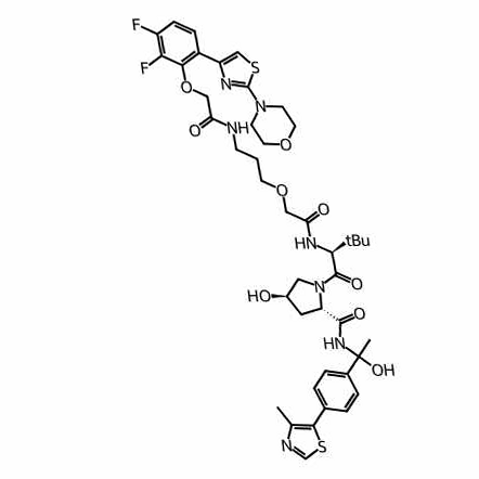 Cc1ncsc1-c1ccc(C(C)(O)NC(=O)[C@@H]2C[C@@H](O)CN2C(=O)[C@@H](NC(=O)COCCCNC(=O)COc2c(-c3csc(N4CCOCC4)n3)ccc(F)c2F)C(C)(C)C)cc1